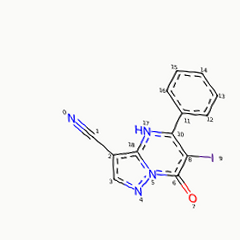 N#Cc1cnn2c(=O)c(I)c(-c3ccccc3)[nH]c12